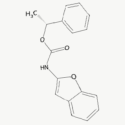 C[C@@H](OC(=O)Nc1cc2ccccc2o1)c1ccccc1